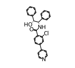 O=C(N[C@@H](c1ccccc1)[C@H](O)c1ccccc1)c1ccc(-c2ccncc2)cc1Cl